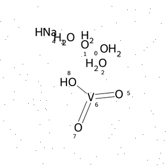 O.O.O.O.[NaH].[O]=[V](=[O])[OH]